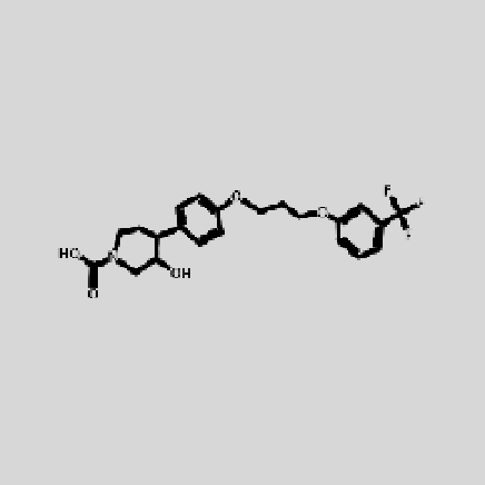 O=C(O)N1CCC(c2ccc(OCCCOc3cccc(C(F)(F)F)c3)cc2)C(O)C1